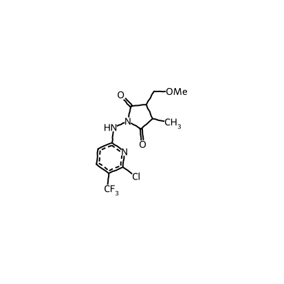 COCC1C(=O)N(Nc2ccc(C(F)(F)F)c(Cl)n2)C(=O)C1C